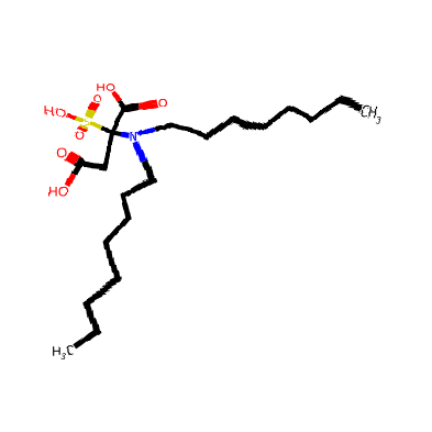 CCCCCCCCN(CCCCCCCC)C(CC(=O)O)(C(=O)O)S(=O)(=O)O